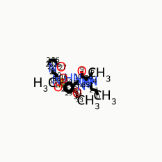 CCCc1nc(C)c2c(=O)[nH]c(-c3cc(S(=O)(=O)N(C)CCN4CCCC4=O)ccc3OCC)nn12